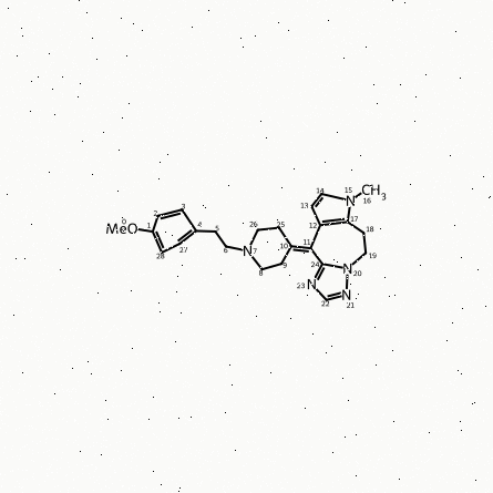 COc1ccc(CCN2CCC(=C3c4ccn(C)c4CCn4ncnc43)CC2)cc1